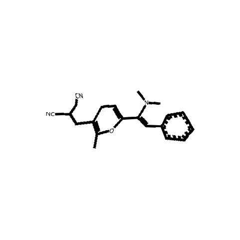 CC1=C(CC(C#N)C#N)CC=C(C(=Cc2ccccc2)N(C)C)O1